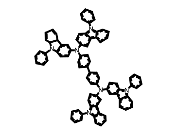 C1=CC2c3cc(N(c4ccc(-c5ccc(N(c6ccc7c(c6)c6ccccc6n7-c6ccccc6)c6ccc7c(c6)c6ccccc6n7-c6ccccc6)cc5)cc4)c4ccc5c(c4)c4ccccc4n5-c4ccccc4)ccc3N(c3ccccc3)C2C=C1